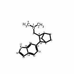 CN(C)CC1C2CCC(C2)C1c1ccc2ccsc2c1